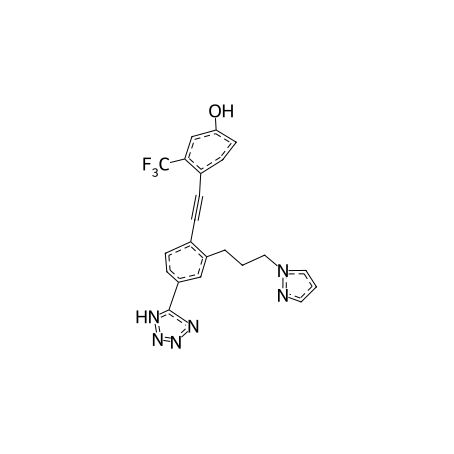 Oc1ccc(C#Cc2ccc(-c3nnn[nH]3)cc2CCCn2cccn2)c(C(F)(F)F)c1